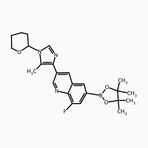 Cc1c(-c2cnc3c(F)cc(B4OC(C)(C)C(C)(C)O4)cc3c2)ncn1C1CCCCO1